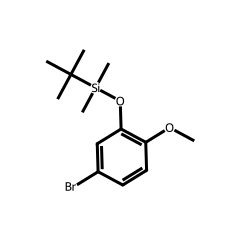 COc1ccc(Br)cc1O[Si](C)(C)C(C)(C)C